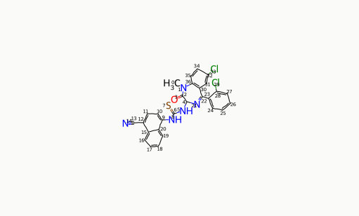 CN1C(=O)C(NC(=S)Nc2ccc(C#N)c3ccccc23)N=C(c2ccccc2Cl)c2cc(Cl)ccc21